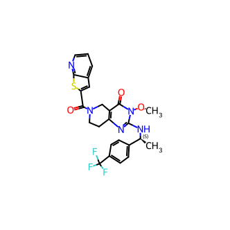 COn1c(N[C@@H](C)c2ccc(C(F)(F)F)cc2)nc2c(c1=O)CN(C(=O)c1cc3cccnc3s1)CC2